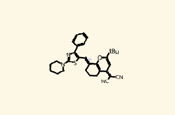 CC(C)(C)C1=CC(=C(C#N)C#N)C2=C(O1)/C(=C/c1sc(N3CCCCC3)nc1-c1ccccc1)CCC2